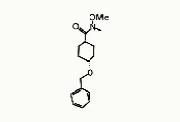 CON(C)C(=O)[C@H]1CC[C@H](OCc2ccccc2)CC1